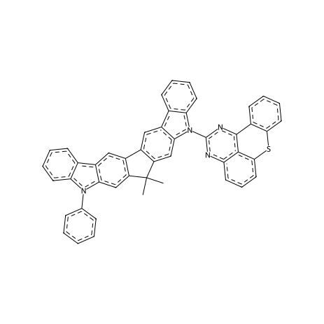 CC1(C)c2cc3c(cc2-c2cc4c5ccccc5n(-c5nc6c7c(cccc7n5)Sc5ccccc5-6)c4cc21)c1ccccc1n3-c1ccccc1